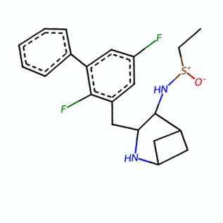 CC[S+]([O-])NC1C2CC(C2)NC1Cc1cc(F)cc(-c2ccccc2)c1F